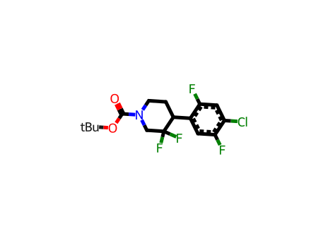 CC(C)(C)OC(=O)N1CCC(c2cc(F)c(Cl)cc2F)C(F)(F)C1